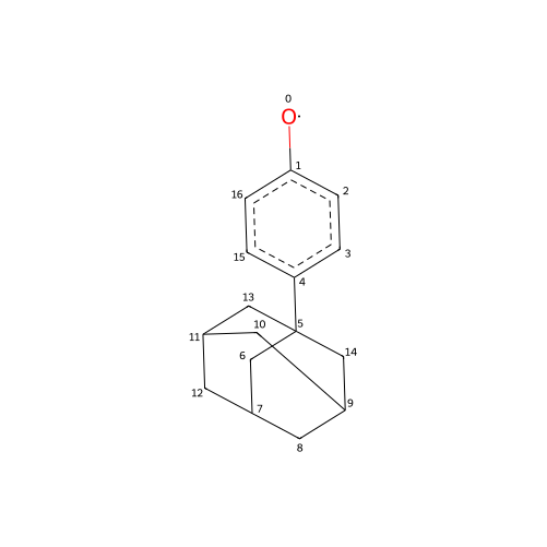 [O]c1ccc(C23CC4CC(CC(C4)C2)C3)cc1